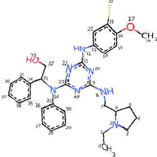 CCN1CCCC1CNc1nc(Nc2ccc(OC)c(F)c2)nc(N(c2ccccc2)C(CO)c2ccccc2)n1